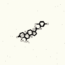 CC1=C2N(C)C(=O)CC[C@]2(C)[C@@H]2CC[C@]3(C)C(C(=O)Nc4cc(Cl)ccc4Cl)CC[C@H]3[C@@H]2C1